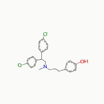 CN(CCCc1ccc(O)cc1)CC(c1ccc(Cl)cc1)c1ccc(Cl)cc1